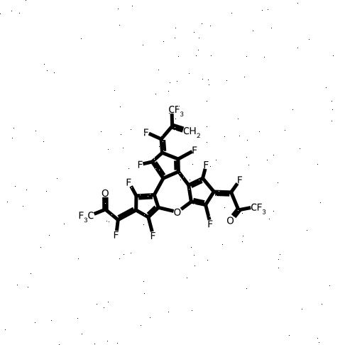 C=C(/C(F)=c1/c(F)c2c3c(F)/c(=C(/F)C(=O)C(F)(F)F)c(F)c3oc3c(F)/c(=C(/F)C(=O)C(F)(F)F)c(F)c3c2c1F)C(F)(F)F